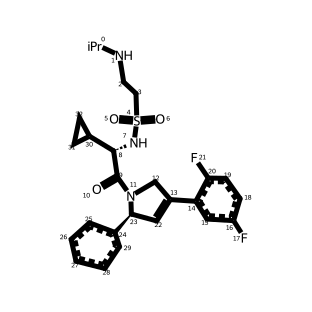 CC(C)NCCS(=O)(=O)N[C@H](C(=O)N1CC(c2cc(F)ccc2F)=C[C@H]1c1ccccc1)C1CC1